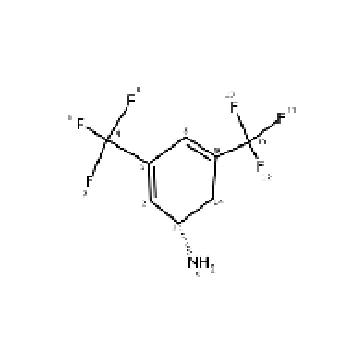 N[C@@H]1C=C(C(F)(F)F)C=C(C(F)(F)F)C1